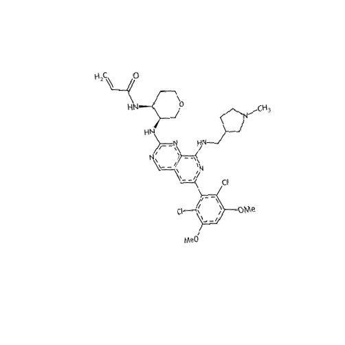 C=CC(=O)N[C@H]1CCOC[C@H]1Nc1ncc2cc(-c3c(Cl)c(OC)cc(OC)c3Cl)nc(NCC3CCN(C)C3)c2n1